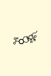 CCCN1CC2(NS1(=O)=O)C1CCC2Cc2cc(C(=O)O)ccc2C1